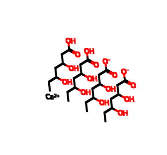 CCC(O)CC(O)CC(=O)O.CCC(O)CC(O)CC(=O)O.CCC(O)CC(O)CC(=O)[O-].CCC(O)CC(O)CC(=O)[O-].[Ca+2]